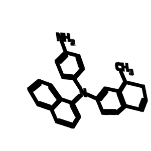 CC1CC=Cc2ccc(N(c3ccc(N)cc3)c3cccc4ccccc34)cc21